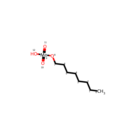 CCCCCCCC[O][Mo](=[O])(=[O])[OH]